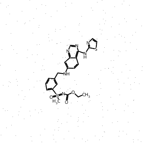 CCOC(=O)N=S(C)(=O)c1cccc(CNc2ccc3c(Nc4nccs4)ncnc3c2)c1